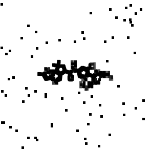 Cc1cc2ncc3c(n2n1)C(C)(C)CC3C(=O)Nc1cnc(/C(=N/N)N(C)N)c(Cl)c1